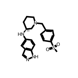 CS(=O)(=O)c1ccc(CN2CCC[C@H](Nc3ccc4[nH]ncc4c3)C2)cc1